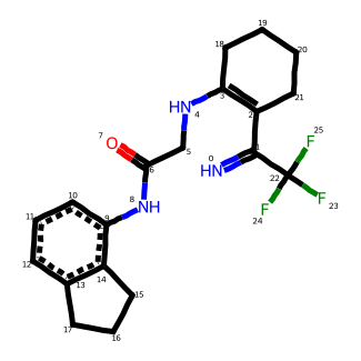 N=C(C1=C(NCC(=O)Nc2cccc3c2CCC3)CCCC1)C(F)(F)F